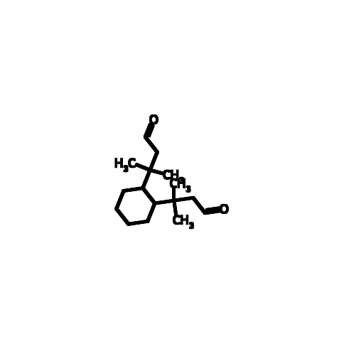 CC(C)(CC=O)C1CCCCC1C(C)(C)CC=O